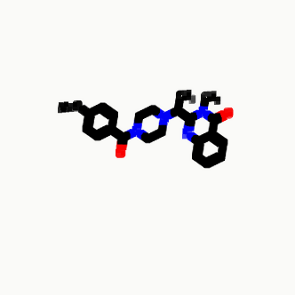 COc1ccc(C(=O)N2CCN(C(C)c3nc4ccccc4c(=O)n3C)CC2)cc1